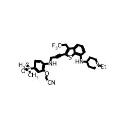 CCN1CCC(Nc2cccc3c(CC(F)(F)F)c(C#CCNc4ccc(P(C)(C)=O)cc4OCC#N)sc23)CC1